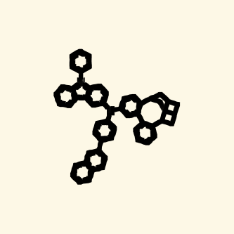 c1ccc(-n2c3ccccc3c3cc(N(c4ccc(-c5ccc6ccccc6c5)cc4)c4ccc5c(c4)-c4ccccc4C4CC6CC7CC5C[C@@]764)ccc32)cc1